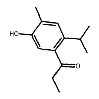 CCC(=O)c1cc(O)c(C)cc1C(C)C